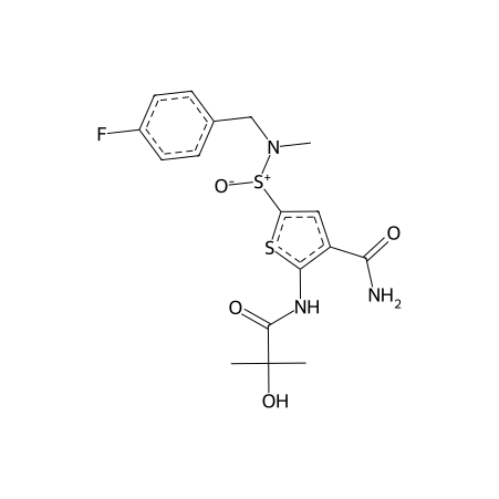 CN(Cc1ccc(F)cc1)[S+]([O-])c1cc(C(N)=O)c(NC(=O)C(C)(C)O)s1